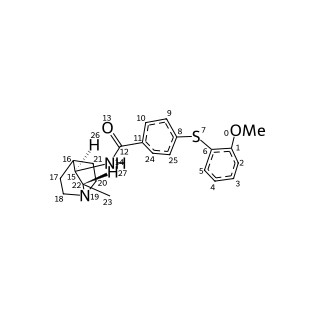 COc1ccccc1Sc1ccc(C(=O)N[C@@H]2C3CCN(CC3)[C@H]2C)cc1